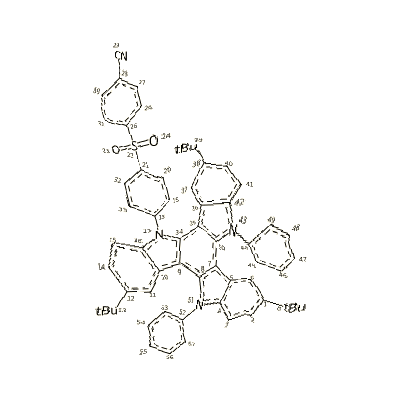 CC(C)(C)c1ccc2c(c1)c1c(c3c4cc(C(C)(C)C)ccc4n(-c4ccc(S(=O)(=O)c5ccc(C#N)cc5)cc4)c3c3c4cc(C(C)(C)C)ccc4n(-c4ccccc4)c13)n2-c1ccccc1